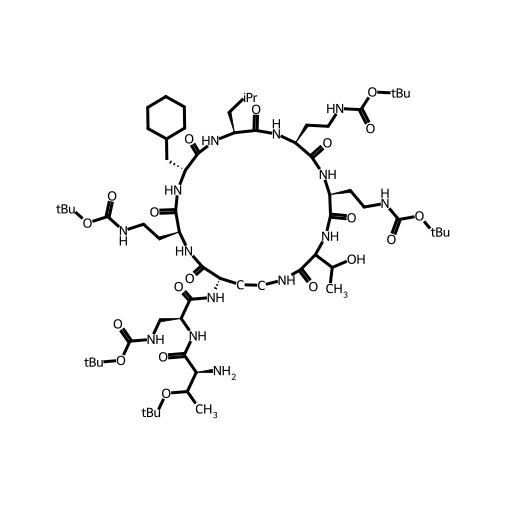 CC(C)C[C@@H]1NC(=O)[C@@H](CC2CCCCC2)NC(=O)[C@H](CCNC(=O)OC(C)(C)C)NC(=O)[C@@H](NC(=O)[C@H](CNC(=O)OC(C)(C)C)NC(=O)[C@@H](N)C(C)OC(C)(C)C)CCNC(=O)C(C(C)O)NC(=O)[C@H](CCNC(=O)OC(C)(C)C)NC(=O)[C@H](CCNC(=O)OC(C)(C)C)NC1=O